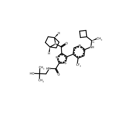 C[C@@H](Nc1cc(C(F)(F)F)c(-c2sc(C(=O)NCC(C)(C)O)nc2C(=O)N2[C@H]3CC[C@@H]2CC3)cn1)C1CCC1